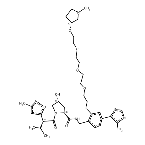 Cc1cc([C@@H](C(=O)N2C[C@H](O)C[C@H]2C(=O)NCc2ccc(-c3scnc3C)cc2OCCOCCOCCOCCO[C@@H]2CCN(C)C2)C(C)C)on1